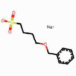 O=S(=O)([O-])CCCCOCc1ccccc1.[Na+]